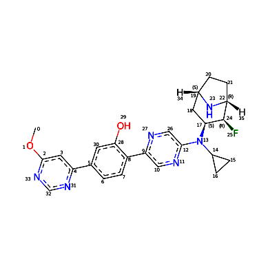 COc1cc(-c2ccc(-c3cnc(N(C4CC4)[C@H]4C[C@@H]5CC[C@@H](N5)[C@H]4F)cn3)c(O)c2)ncn1